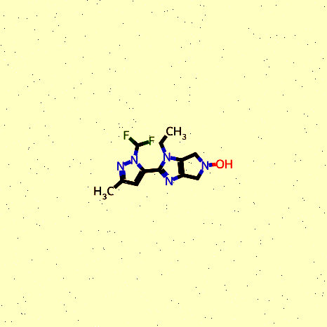 CCn1c(-c2cc(C)nn2C(F)F)nc2c1CN(O)C2